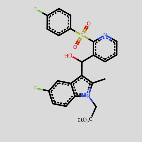 CCOC(=O)Cn1c(C)c(C(O)c2cccnc2S(=O)(=O)c2ccc(F)cc2)c2cc(F)ccc21